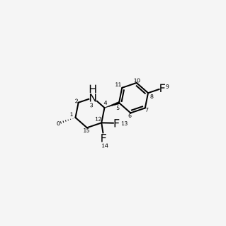 C[C@@H]1CN[C@@H](c2ccc(F)cc2)C(F)(F)C1